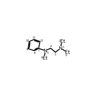 CCN(CC)CCN(CC)c1cc[c]cc1